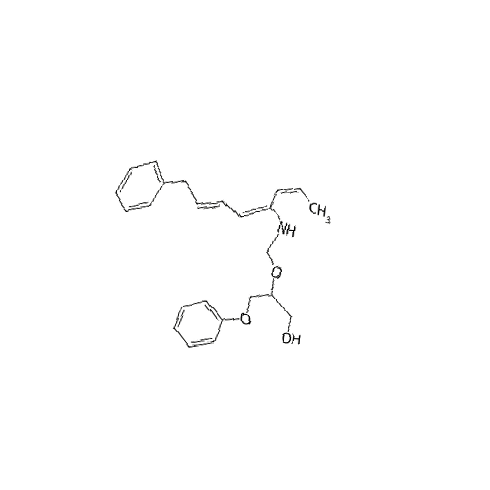 C/C=C\C(=C/C=CCc1ccccc1)NCOC(CO)COc1ccccc1